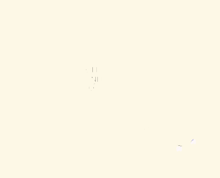 CCCCC/C=C\C/C=C\CCCCCCCC(=O)CCCCCCCCCCCCCCCC(=O)NCC(O)CCCCCCCCCCCCCCCCCC